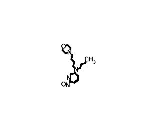 CCCCN(CCCCN1CCOCC1)C1CC=CC(N=O)=NC1